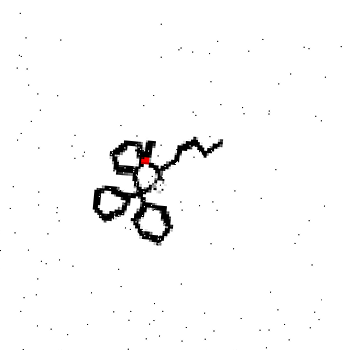 C=CC(C/C=C\CC)OC(c1ccccc1)(c1ccccc1)c1ccccc1